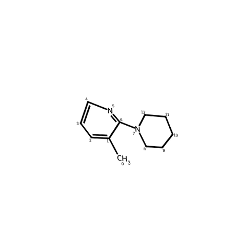 Cc1cccnc1N1CCCCC1